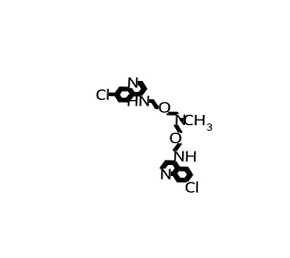 CN(CCOCCNc1ccnc2cc(Cl)ccc12)CCOCCNc1ccnc2cc(Cl)ccc12